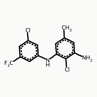 Cc1cc(N)c(Cl)c(Nc2cc(Cl)cc(C(F)(F)F)c2)c1